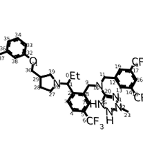 CCC(c1ccc(C(F)(F)F)cc1CN(Cc1cc(C(F)(F)F)cc(C(F)(F)F)c1)C1=NN(C)NN1)N1CCC(COc2cccc(Cl)c2)C1